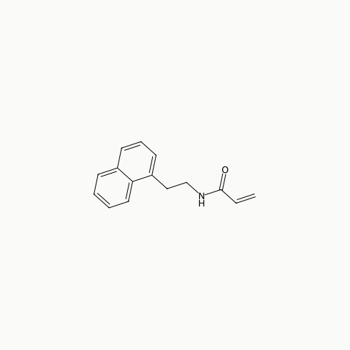 C=CC(=O)NCCc1cccc2ccccc12